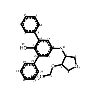 O=C(O)COC1COCC1Sc1cc(-c2ccccc2)c(O)c(-c2ccccc2)c1